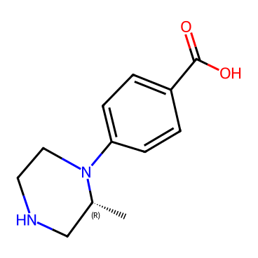 C[C@@H]1CNCCN1c1ccc(C(=O)O)cc1